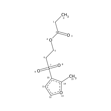 CCC(=O)OCCS(=O)(=O)c1ccoc1C